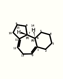 C1=C2CCCC[C@@H]2[C@H]2CCCC2=CC1